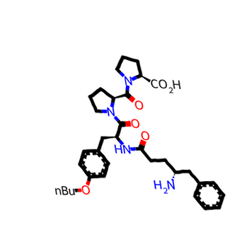 CCCCOc1ccc(C[C@H](NC(=O)CC[C@@H](N)Cc2ccccc2)C(=O)N2CCC[C@H]2C(=O)N2CCC[C@H]2C(=O)O)cc1